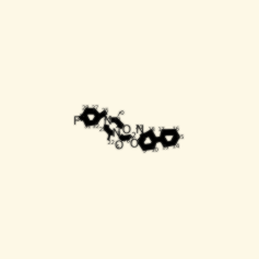 C[C@@H]1CN(C(=O)COc2ccc(-c3ccccc3)cc2[N+](=O)[O-])[C@@H](C)CN1Cc1ccc(F)cc1